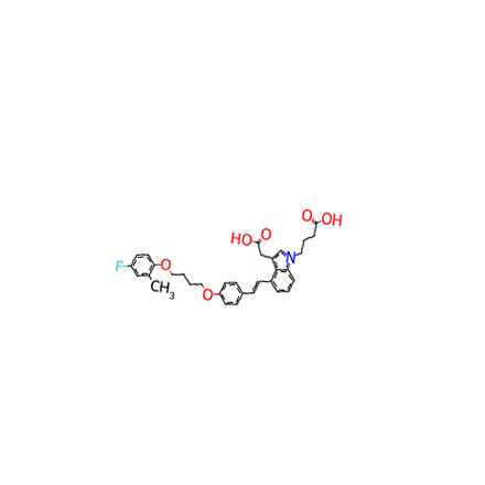 Cc1cc(F)ccc1OCCCCOc1ccc(C=Cc2cccc3c2c(CC(=O)O)cn3CCCC(=O)O)cc1